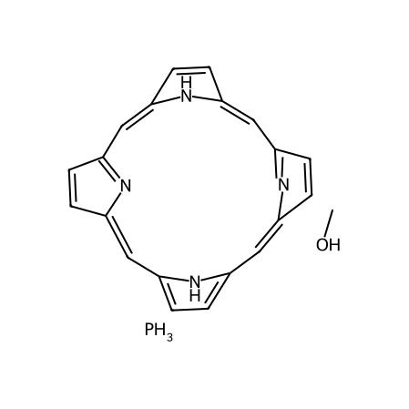 C1=Cc2cc3ccc(cc4nc(cc5ccc(cc1n2)[nH]5)C=C4)[nH]3.CO.P